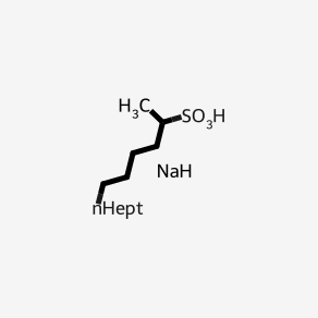 CCCCCCCCCCCC(C)S(=O)(=O)O.[NaH]